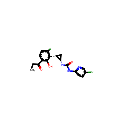 CCC(=O)c1ccc(F)c([C@@H]2C[C@@H]2NC(=O)Nc2ccc(Br)cn2)c1O